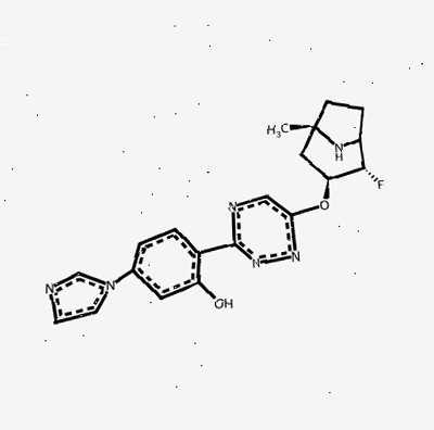 C[C@@]12CCC(N1)[C@H](F)[C@@H](Oc1cnc(-c3ccc(-n4ccnc4)cc3O)nn1)C2